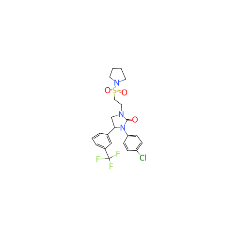 O=C1N(CCS(=O)(=O)N2CCCC2)CC(c2cccc(C(F)(F)F)c2)N1c1ccc(Cl)cc1